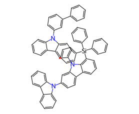 c1ccc(-c2cccc(-n3c4ccccc4c4cc(-n5c6cc(-n7c8ccccc8c8ccccc87)ccc6c6cccc([Si](c7ccccc7)(c7ccccc7)c7ccccc7)c65)ccc43)c2)cc1